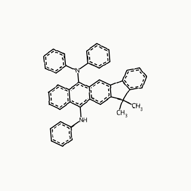 CC1(C)c2ccccc2-c2cc3c(N(c4ccccc4)c4ccccc4)c4ccccc4c(Nc4ccccc4)c3cc21